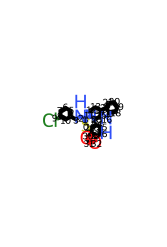 S=C(NCc1cccc(Cl)c1)N1CCc2c([nH]c3ccccc23)[C@H]1c1ccc2c(c1)OCO2